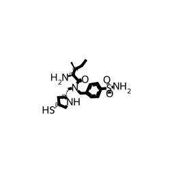 CC[C@H](C)[C@H](N)C(=O)N(Cc1ccc(S(N)(=O)=O)cc1)C[C@H]1C[C@@H](S)CN1